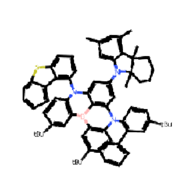 Cc1cc(C)c2c(c1)N(c1cc3c4c(c1)N(c1cccc5sc6ccccc6c15)c1ccc(C(C)(C)C)cc1B4c1cc(C(C)(C)C)ccc1N3c1ccc(C(C)(C)C)cc1-c1ccccc1)C1(C)CCCCC21C